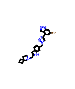 Brc1cc(-c2cn(Cc3ccc4cc(CN5CCC6(CCC6)C5)[nH]c4c3)nn2)c2cn[nH]c2c1